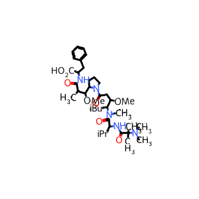 CCC(C)C(C(CC(=O)N1CCCC1C(OC)C(C)C(=O)NC(Cc1ccccc1)C(=O)O)OC)N(C)C(=O)C(NC(=O)C(C)(C)N(C)C)C(C)C